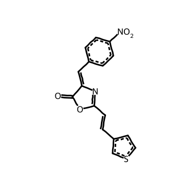 O=C1OC(/C=C/c2ccsc2)=NC/1=C\c1ccc([N+](=O)[O-])cc1